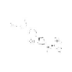 CN(c1cnc(-c2ccc(-c3cnc4c(c3)OC(C)(C)CC4)cc2O)nn1)[C@@H]1C[C@H]2CC[C@@H](C1)N2